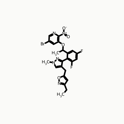 CCc1cc(Cc2cn(C)nc2-c2c(F)cc(F)cc2C(C)Oc2cc(Br)cnc2[N+](=O)[O-])on1